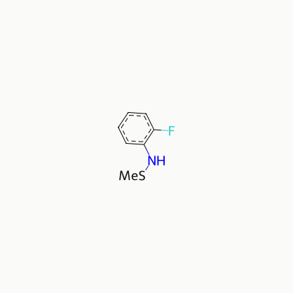 CSNc1ccccc1F